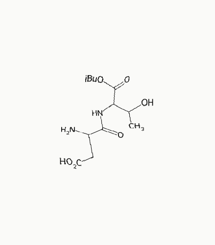 CC(C)COC(=O)C(NC(=O)C(N)CC(=O)O)C(C)O